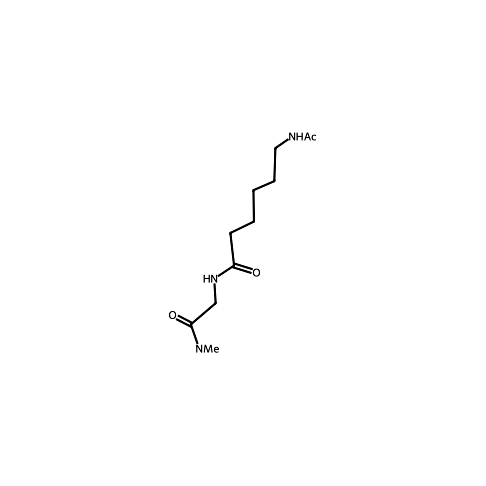 CNC(=O)CNC(=O)CCCCCNC(C)=O